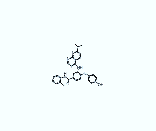 CC(C)c1ccc2c(Nc3cc(C(=O)Nc4ccccc4F)ccc3Sc3ccc(O)cc3)ncnc2n1